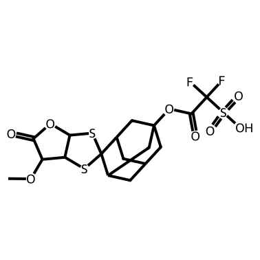 COC1C(=O)OC2SC3(SC21)C1CC2CC3CC(OC(=O)C(F)(F)S(=O)(=O)O)(C2)C1